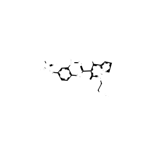 CC(C)(C)CCn1c(=O)c(C2=NP(O)c3cc(NS(C)(=O)=O)ccc3N2)c(O)c2cccn21